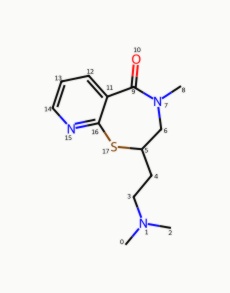 CN(C)CCC1CN(C)C(=O)c2cccnc2S1